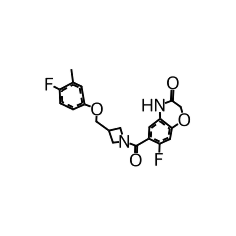 Cc1cc(OCC2CN(C(=O)c3cc4c(cc3F)OCC(=O)N4)C2)ccc1F